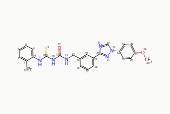 CC(C)c1ccccc1NC(=S)NC(=O)NCc1cccc(-c2ncn(-c3ccc(OC(F)(F)F)cc3)n2)c1